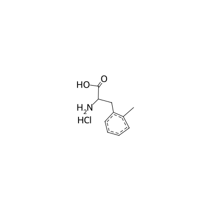 Cc1ccccc1CC(N)C(=O)O.Cl